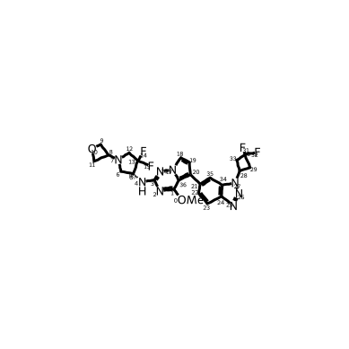 COc1nc(N[C@@H]2CN(C3COC3)CC2(F)F)nn2ccc(-c3ccc4nnn(C5CC(F)(F)C5)c4c3)c12